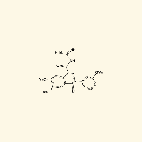 COc1cccc(-n2cc(C(=O)NC(=N)N)c3cc(OC)c(OC)cc3c2=O)c1